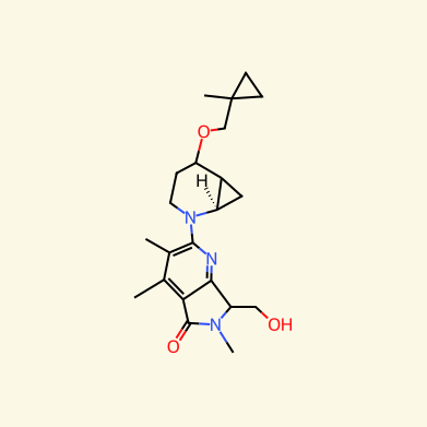 Cc1c(N2CCC(OCC3(C)CC3)C3C[C@H]32)nc2c(c1C)C(=O)N(C)C2CO